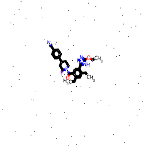 CCOc1nnc(-c2cc(C(=O)N3CCC(c4ccc(C#N)cc4)CC3I)c(CC)cc2CC)[nH]1